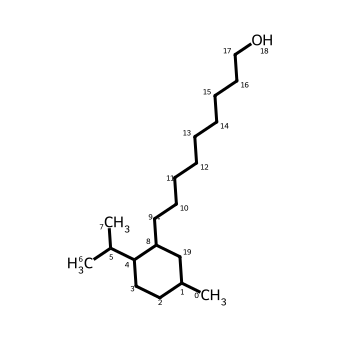 CC1CCC(C(C)C)C([CH]CCCCCCCCO)C1